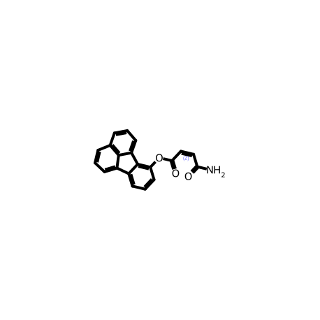 NC(=O)/C=C\C(=O)Oc1cccc2c1-c1cccc3cccc-2c13